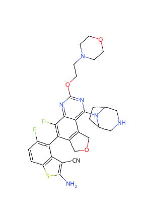 N#Cc1c(N)sc2ccc(F)c(-c3c4c(c5c(N6C7CCC6CNC7)nc(OCCN6CCOCC6)nc5c3F)COC4)c12